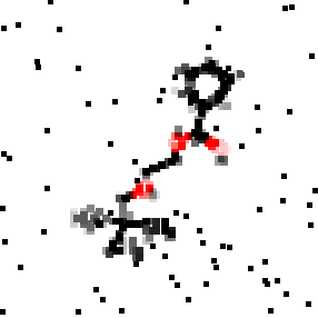 CC(C)(C)COCCOC(=O)c1ccccc1